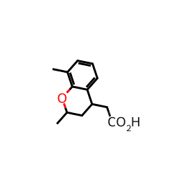 Cc1cccc2c1OC(C)CC2CC(=O)O